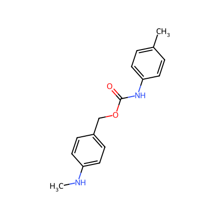 CNc1ccc(COC(=O)Nc2ccc(C)cc2)cc1